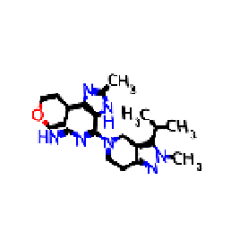 Cc1nc(C2CCOCC2)c(/C(=N\C=N)N2CCc3nn(C)c(C(C)C)c3C2)[nH]1